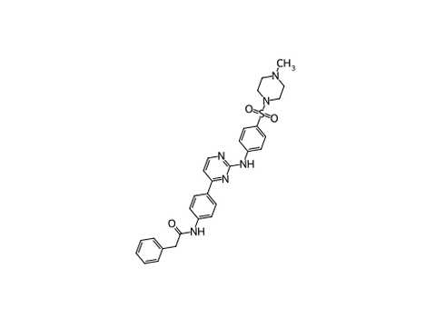 CN1CCN(S(=O)(=O)c2ccc(Nc3nccc(-c4ccc(NC(=O)Cc5ccccc5)cc4)n3)cc2)CC1